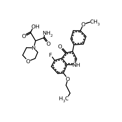 CCCOc1ccc(F)c2c(=O)c(-c3ccc(OC)cc3)c[nH]c12.NC(=O)C(C(=O)O)N1CCOCC1